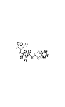 O=C(O)CCCS(=O)(=O)NC(=O)CCCc1nnn[nH]1